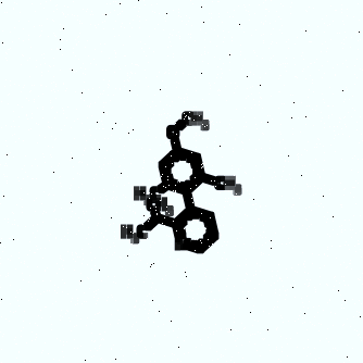 COc1cc(C)c(-c2cccnc2C(C)C)c(C)c1